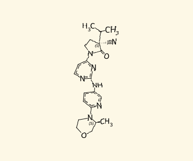 CC(C)[C@]1(C#N)CCN(c2ccnc(Nc3ccc(N4CCOC[C@@H]4C)nc3)n2)C1=O